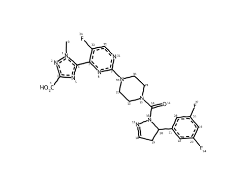 Cn1nc(C(=O)O)nc1-c1nc(N2CCN(C(=O)N3N=CCC3c3cc(F)cc(F)c3)CC2)ncc1F